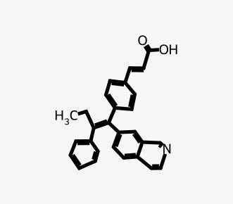 CCC(=C(c1ccc(C=CC(=O)O)cc1)c1ccc2ccncc2c1)c1ccccc1